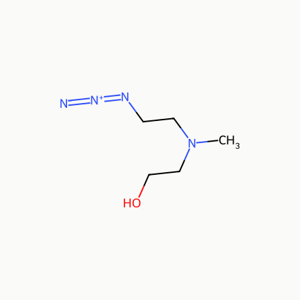 CN(CCO)CCN=[N+]=[N-]